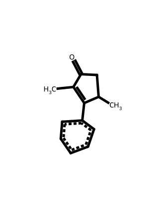 CC1=C(c2ccccc2)C(C)CC1=O